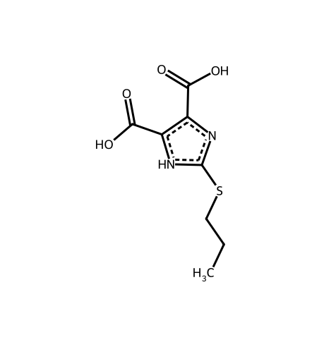 CCCSc1nc(C(=O)O)c(C(=O)O)[nH]1